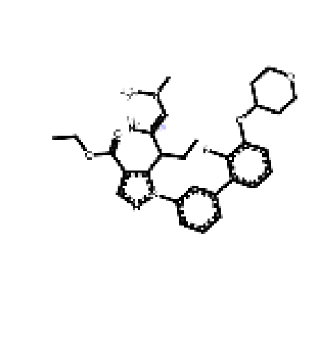 CCOC(=O)c1cnn(-c2cccc(-c3cccc(OC4CCOCC4)c3F)c2)c1C(CC)/C(N)=C/N(C)N